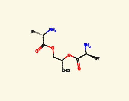 CC(C)[C@H](N)C(=O)OCC([C]=O)OC(=O)[C@@H](N)C(C)C